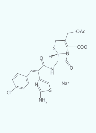 CC(=O)OCC1=C(C(=O)[O-])N2C(=O)C(NC(=O)/C(=C/c3ccc(Cl)cc3)c3csc(N)n3)[C@@H]2SC1.[Na+]